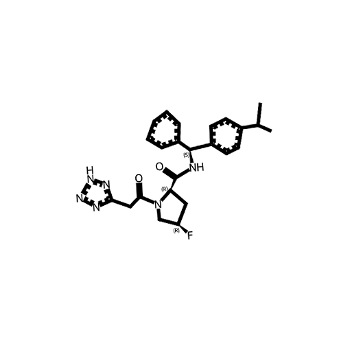 CC(C)c1ccc([C@@H](NC(=O)[C@H]2C[C@@H](F)CN2C(=O)Cc2nn[nH]n2)c2ccccc2)cc1